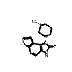 N#C[C@@H]1CCC[C@@H](n2c(=O)[nH]c3cnc4[nH]ccc4c32)C1